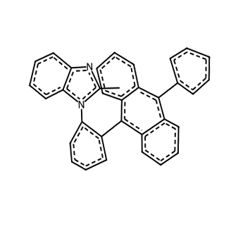 Cc1nc2ccccc2n1-c1ccccc1-c1c2ccccc2c(-c2ccccc2)c2ccccc12